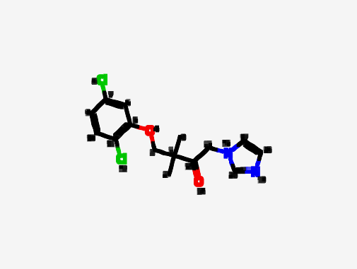 CC(C)(COc1cc(Cl)ccc1Cl)C(=O)Cn1ccnc1